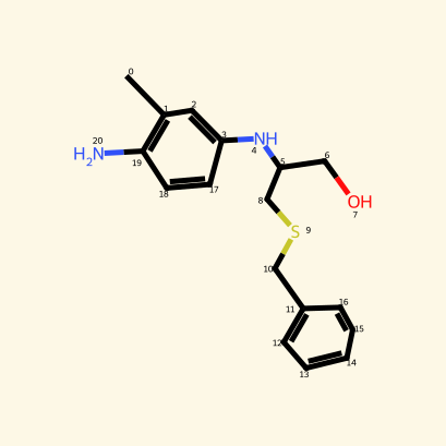 Cc1cc(NC(CO)CSCc2ccccc2)ccc1N